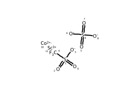 O=S(=O)([O-])C(F)(F)F.O=S(=O)([O-])[O-].[Co+2].[Sc+3]